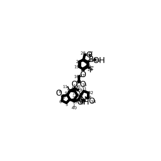 C[C@@H]1CC[C@@]23CCC(=O)C2[C@]1(C)[C@H](OC(=O)COc1ccc2c(c1F)B(O)OC2)C[C@@]1(CCC(=O)N1C)[C@@H](O)[C@@H]3C